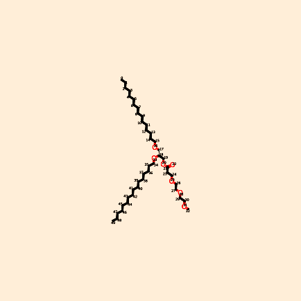 CCCCCCCCCCCCCCCCOC[C@H](COC(=O)CCOCCOCCOC)OCCCCCCCCCCCCCCCC